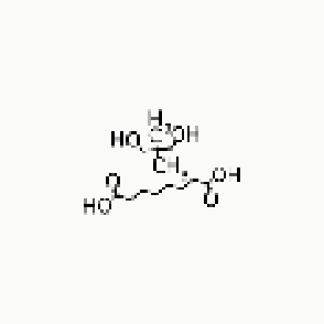 CC(C)(CO)CO.O=C(O)CCCCCCC(=O)O